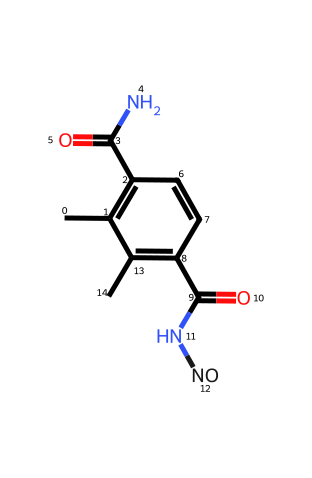 Cc1c(C(N)=O)ccc(C(=O)NN=O)c1C